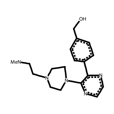 CNCCN1CCN(c2nccnc2-c2ccc(CO)cc2)CC1